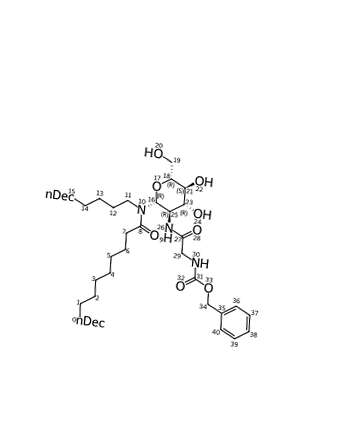 CCCCCCCCCCCCCCCCCC(=O)N(CCCCCCCCCCCCCC)[C@@H]1O[C@H](CO)[C@@H](O)[C@H](O)[C@H]1NC(=O)CNC(=O)OCc1ccccc1